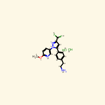 COc1ccc(-n2nc(C(F)F)cc2-c2ccc(CCN)cc2)cn1.Cl.Cl